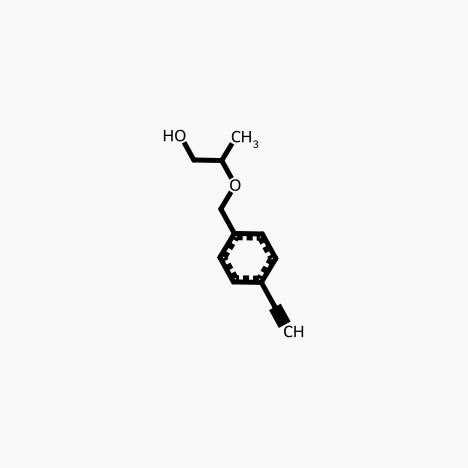 C#Cc1ccc(COC(C)CO)cc1